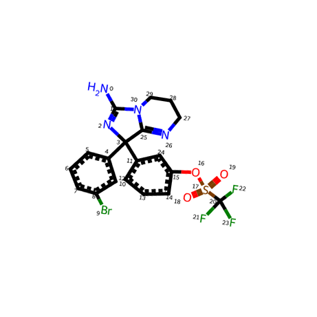 NC1=NC(c2cccc(Br)c2)(c2cccc(OS(=O)(=O)C(F)(F)F)c2)C2=NCCCN12